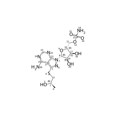 C[C@@H](O)CSc1nn([C@@H]2O[C@H](COS(N)(=O)=O)[C@@H](O)[C@H]2O)c2ncnc(N)c12